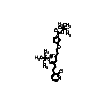 CC(C)(C)OC(=O)N1CCC(OCCCCC(CCc2cccnc2Cl)=N[S@+]([O-])C(C)(C)C)C1